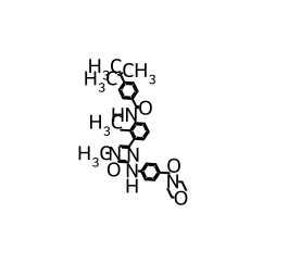 CCc1c(NC(=O)c2ccc(C(C)(C)C)cc2)cccc1-c1cn(C)c(=O)c(Nc2ccc(C(=O)N3CCOCC3)cc2)n1